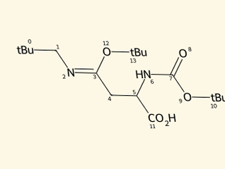 CC(C)(C)CN=C(CC(NC(=O)OC(C)(C)C)C(=O)O)OC(C)(C)C